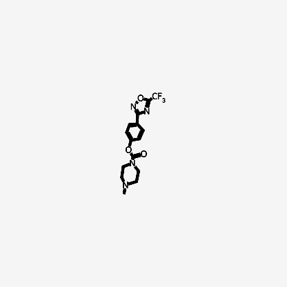 CN1CCN(C(=O)Oc2ccc(-c3noc(C(F)(F)F)n3)cc2)CC1